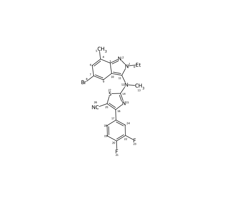 CCn1nc2c(C)cc(Br)cc2c1N(C)c1nc(-c2ccc(F)c(F)c2)c(C#N)s1